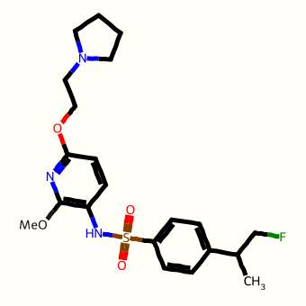 COc1nc(OCCN2CCCC2)ccc1NS(=O)(=O)c1ccc(C(C)CF)cc1